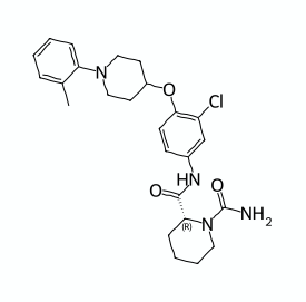 Cc1ccccc1N1CCC(Oc2ccc(NC(=O)[C@H]3CCCCN3C(N)=O)cc2Cl)CC1